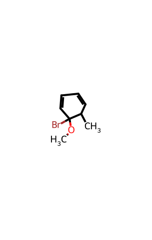 COC1(Br)C=CC=CC1C